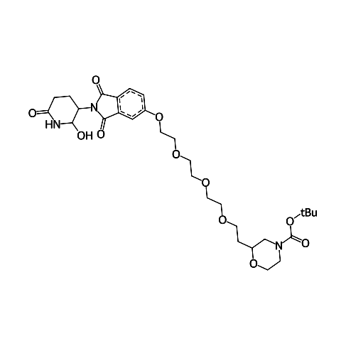 CC(C)(C)OC(=O)N1CCOC(CCOCCOCCOCCOc2ccc3c(c2)C(=O)N(C2CCC(=O)NC2O)C3=O)C1